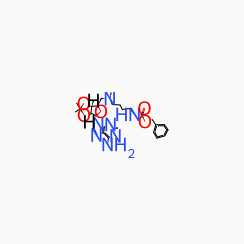 CN(CCCCNC(=O)OCc1ccccc1)C[C@H]1OC(n2cnc3c(N)ncnc32)[C@@H]2OC(C)(C)O[C@H]12